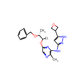 CC[C@@H](Oc1cnc(C)c(Nc2cc(C3COC3)[nH]n2)n1)[C@@H](C)OCc1ccccc1